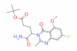 COc1cc(F)cc2nc(C)n(C(CCC(=O)OC(C)(C)C)C(N)=O)c(=O)c12